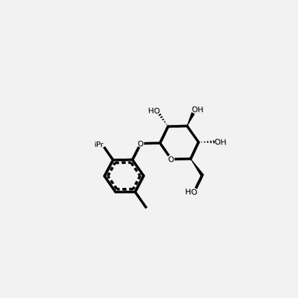 Cc1ccc(C(C)C)c(OC2O[C@H](CO)[C@@H](O)[C@H](O)[C@H]2O)c1